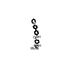 CC(C)(C)S(=O)(=O)N[C@H]1CC[C@H](C(=O)Nc2ccc(-c3ccc(N4CCCCC4)cc3)cc2)CC1